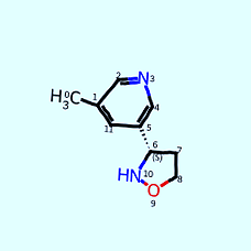 Cc1cncc([C@@H]2CCON2)c1